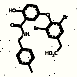 Cc1ccc(CNC(=O)c2cc(Oc3c(Br)cc(CC(=O)O)cc3Br)ccc2O)cc1